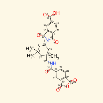 CC1(C)CC(N2C(=O)c3ccc(C(=O)O)cc3C2=O)CC(C)(CNC(=O)c2ccc3c(c2)C(=O)OC3=O)C1